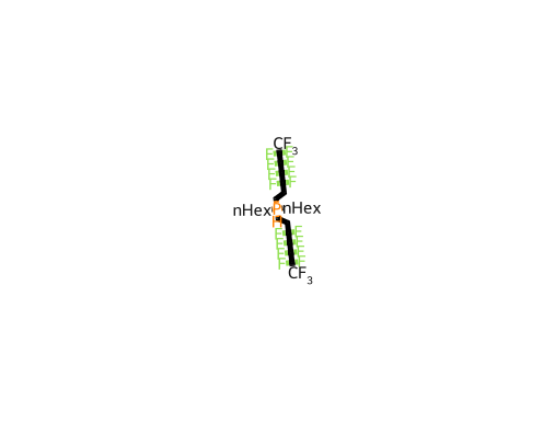 CCCCCC[PH](CCCCCC)(CCC(F)(F)C(F)(F)C(F)(F)C(F)(F)C(F)(F)F)CCC(F)(F)C(F)(F)C(F)(F)C(F)(F)C(F)(F)F